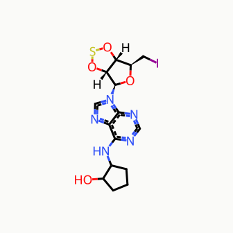 OC1CCCC1Nc1ncnc2c1ncn2[C@@H]1O[C@H](CI)[C@H]2OSO[C@H]21